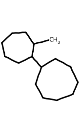 CC1CCCCC[C]1C1CCCCCCC1